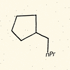 CCCCC1C[CH]CC1